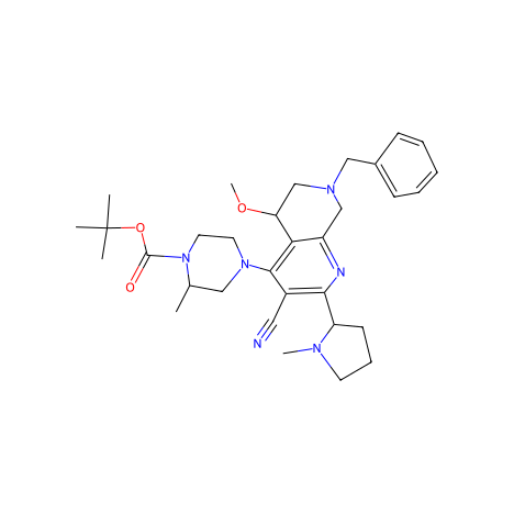 COC1CN(Cc2ccccc2)Cc2nc(C3CCCN3C)c(C#N)c(N3CCN(C(=O)OC(C)(C)C)C(C)C3)c21